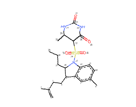 C=C(C)CCC1c2cc(C)ccc2N(S(=O)(=O)C2C(=O)NC(=O)NC2C)C1CCC